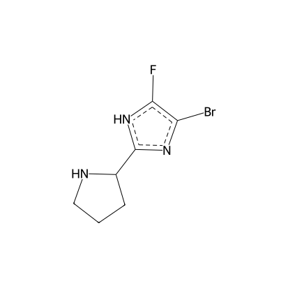 Fc1[nH]c(C2CCCN2)nc1Br